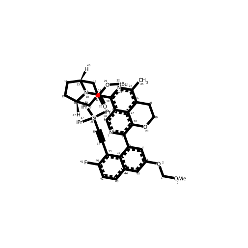 COCOc1cc(-c2ncc3c(N4C[C@H]5CC[C@@H](C4)N5C(=O)OC(C)(C)C)nc(C)c4c3c2OCC4)c2c(C#C[Si](C(C)C)(C(C)C)C(C)C)c(F)ccc2c1